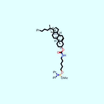 COP(OCCCCCNC(=O)O[C@H]1CC[C@@]2(C)C(=CC[C@H]3[C@@H]4CC[C@H]([C@H](C)CCCC(C)C)[C@@]4(C)CC[C@@H]32)C1)N(C(C)C)C(C)C